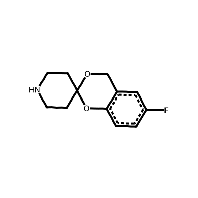 Fc1ccc2c(c1)COC1(CCNCC1)O2